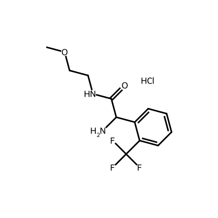 COCCNC(=O)C(N)c1ccccc1C(F)(F)F.Cl